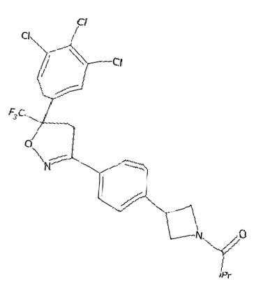 CC(C)C(=O)N1CC(c2ccc(C3=NOC(c4cc(Cl)c(Cl)c(Cl)c4)(C(F)(F)F)C3)cc2)C1